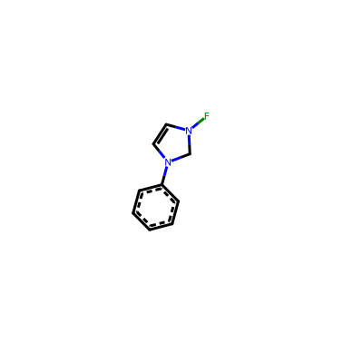 FN1C=CN(c2ccccc2)C1